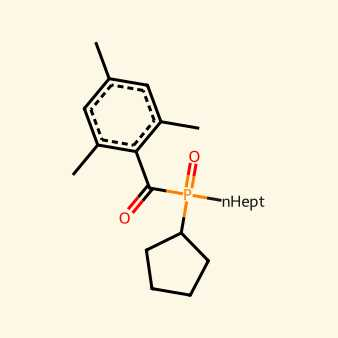 CCCCCCCP(=O)(C(=O)c1c(C)cc(C)cc1C)C1CCCC1